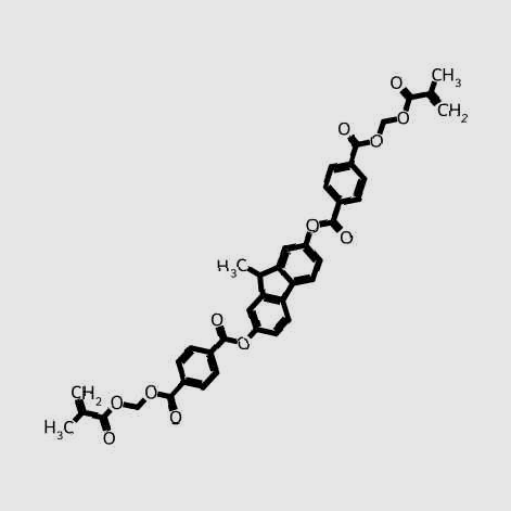 C=C(C)C(=O)OCOC(=O)c1ccc(C(=O)Oc2ccc3c(c2)C(C)c2cc(OC(=O)c4ccc(C(=O)OCOC(=O)C(=C)C)cc4)ccc2-3)cc1